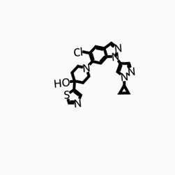 OC1(c2cncs2)CCN(c2cc3c(cnn3-c3cnn(C4CC4)c3)cc2Cl)CC1